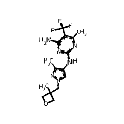 Cc1nn(CC2(C)COC2)cc1Nc1nc(C)c(C(F)(F)F)c(N)n1